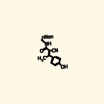 CCCCCCCCCCNC(=O)/C(C#N)=C(\C)c1ccc(O)cc1